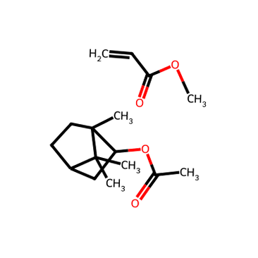 C=CC(=O)OC.CC(=O)OC1CC2CCC1(C)C2(C)C